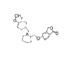 COC1CCC(CN2CCCCC2COc2ccc3c(c2)COC3=O)CC1